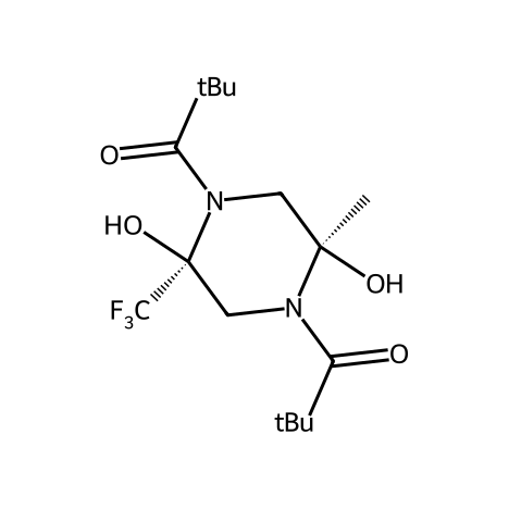 CC(C)(C)C(=O)N1C[C@@](C)(O)N(C(=O)C(C)(C)C)C[C@]1(O)C(F)(F)F